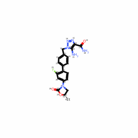 CC[C@H]1CN(c2ccc(-c3ccc(Cn4nnc(C(N)=O)c4N)cc3)c(F)c2)C(=O)O1